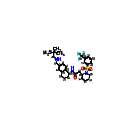 CC(C)(C)CNCc1ccc2c(c1)CCC[C@H]2NC(=O)C[C@@H]1CCCCN1S(=O)(=O)c1cccc(C(F)(F)F)c1